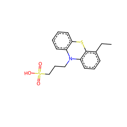 CCc1cccc2c1Sc1ccccc1N2CCCS(=O)(=O)O